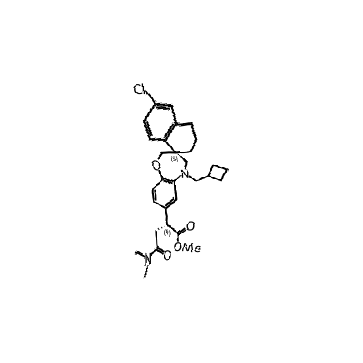 COC(=O)[C@H](CC(=O)N(C)C)c1ccc2c(c1)N(CC1CCC1)C[C@@]1(CCCc3cc(Cl)ccc31)CO2